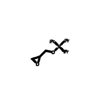 CC(C)[Si](OCC1CO1)(C(C)C)C(C)C